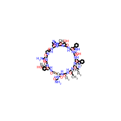 CCCC[C@H]1C(=O)N(C)[C@@H](CCCC)C(=O)N[C@@H](C)C(=O)N[C@H](C(=O)NCC(N)=O)CSCC(=O)N[C@@H](Cc2ccc(O)cc2)C(=O)N(C)[C@@H](C)C(=O)N[C@@H](CC(N)=O)C(=O)N2CCC[C@H]2C(=O)N[C@@H](Cc2cnc[nH]2)C(=O)N[C@@H](CC(C)C)C(=O)N2C[C@H](O)CC2C(=O)N[C@@H](Cc2c[nH]c3ccccc23)C(=O)N[C@@H](CO)C(=O)N[C@@H](Cc2c[nH]c3ccccc23)C(=O)N1C